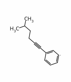 CC(C)CCC#Cc1c[c]ccc1